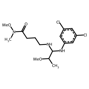 COC(C)C(NCCCC(=O)N(C)OC)Nc1cc(Cl)cc(Cl)c1